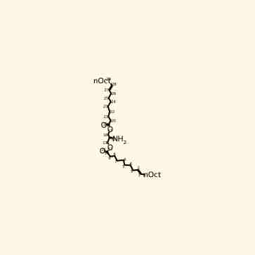 CCCCCCCCC=CCCCCCCCC(=O)OCC(N)COC(=O)CCCCCCCC=CCCCCCCCC